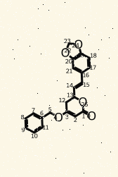 O=C1C=C(OCc2ccccc2)CC(C=Cc2ccc3c(c2)OCO3)O1